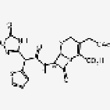 CC(=O)OCC1=C(C(=O)O)N2C(=O)[C@@H](NC(=O)C(c3noc(=O)[nH]3)c3cccs3)C2SC1